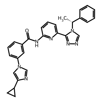 C[C@H](c1ccccc1)n1cnnc1-c1cccc(NC(=O)c2cccc(-n3cnc(C4CC4)c3)c2)n1